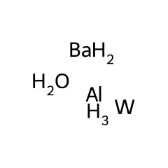 O.[AlH3].[BaH2].[W]